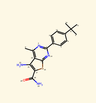 Cc1nc(-c2ccc(C(C)(C)C)cc2)nc2sc(C(N)=O)c(N)c12